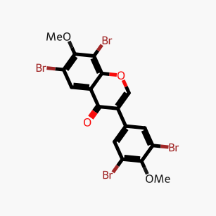 COc1c(Br)cc(-c2coc3c(Br)c(OC)c(Br)cc3c2=O)cc1Br